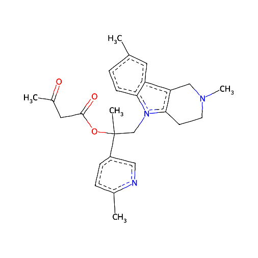 CC(=O)CC(=O)OC(C)(Cn1c2c(c3cc(C)ccc31)CN(C)CC2)c1ccc(C)nc1